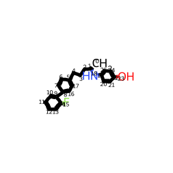 C=C(CCCc1ccc(-c2ccccc2F)cc1)Nc1ccc(O)cc1